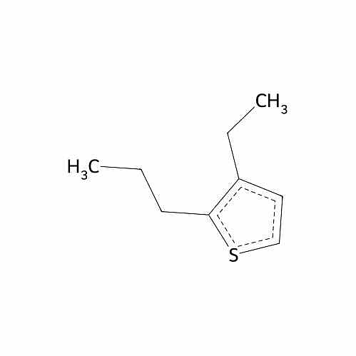 CCCc1sccc1CC